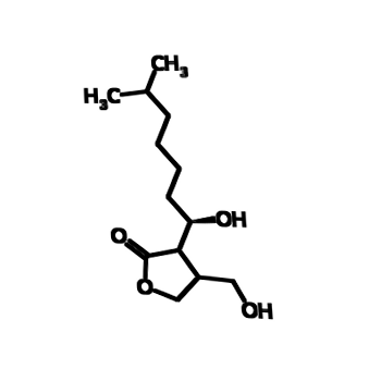 CC(C)CCCC[C@@H](O)C1C(=O)OCC1CO